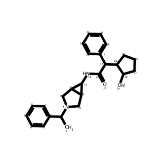 CC(c1ccccc1)N1CC2C(C1)C2NC(=O)C(c1ccccc1)C1CCCC1O